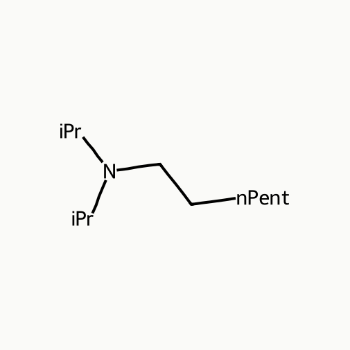 CCCCCCCN(C(C)C)C(C)C